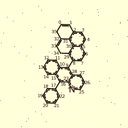 C1=Cc2ccc3ccc(-c4c5ccccc5c(-c5ccccc5)c5ncccc45)c4c3c2C(=CC4)C1